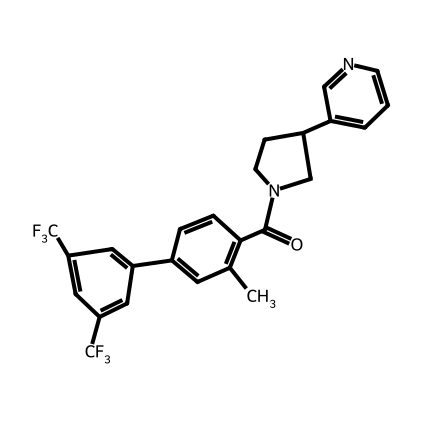 Cc1cc(-c2cc(C(F)(F)F)cc(C(F)(F)F)c2)ccc1C(=O)N1CCC(c2cccnc2)C1